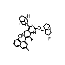 Cc1cc(-c2ncc3c(N4C[C@H]5CC[C@@](C)(C5)C4)nc(OC[C@@]45CCCN4C[C@H](F)C5)nc3c2F)c2c(Cl)cccc2c1